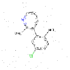 O=Cc1ncccc1-c1cc(Cl)ccc1[N+](=O)[O-]